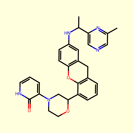 Cc1cncc(C(C)Nc2ccc3c(c2)Cc2cccc(C4CN(c5ccc[nH]c5=O)CCO4)c2O3)n1